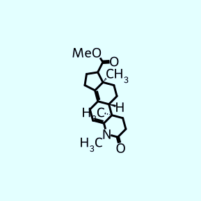 COC(=O)C1CCC2=C3CC=C4N(C)C(=O)CC[C@]4(C)[C@H]3CC[C@@]21C